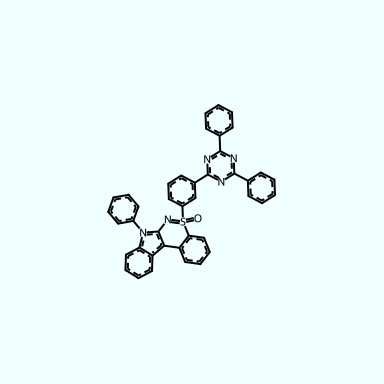 O=S1(c2cccc(-c3nc(-c4ccccc4)nc(-c4ccccc4)n3)c2)=Nc2c(c3ccccc3n2-c2ccccc2)-c2ccccc21